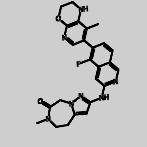 Cc1c(-c2ccc3cnc(Nc4cc5n(n4)CC(=O)N(C)CC5)cc3c2F)cnc2c1NCCO2